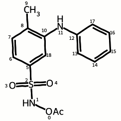 CC(=O)ONS(=O)(=O)c1ccc(C)c(Nc2ccccc2)c1